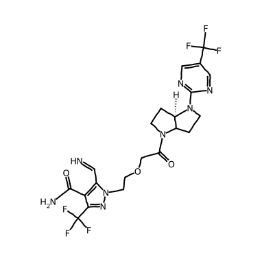 N=Cc1c(C(N)=O)c(C(F)(F)F)nn1CCOCC(=O)N1CC[C@@H]2C1CCN2c1ncc(C(F)(F)F)cn1